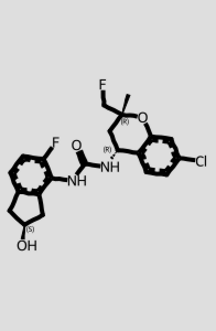 C[C@]1(CF)C[C@@H](NC(=O)Nc2c(F)ccc3c2C[C@@H](O)C3)c2ccc(Cl)cc2O1